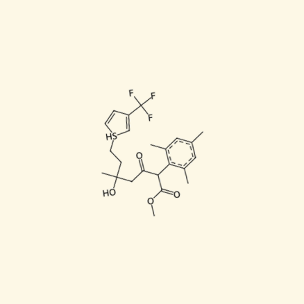 COC(=O)C(C(=O)CC(C)(O)CC[SH]1C=CC(C(F)(F)F)=C1)c1c(C)cc(C)cc1C